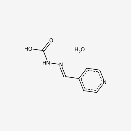 O.O=C(O)NN=Cc1ccncc1